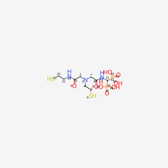 O=C(CN(CCS)CC(=O)NC(P(=O)(O)O)P(=O)(O)O)NCCS